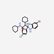 O=C(NC1CCCCC1)C(C1CCCCC1)C1(c2ccc(Cl)cc2)Nc2ccc(Br)cc2N1